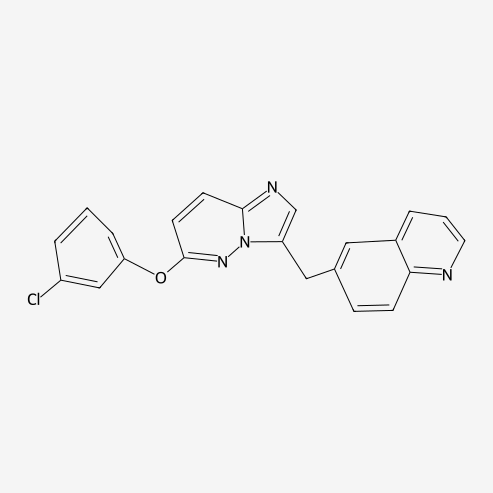 Clc1cccc(Oc2ccc3ncc(Cc4ccc5ncccc5c4)n3n2)c1